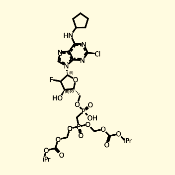 CC(C)OC(=O)OCOP(=O)(CP(=O)(O)OC[C@H]1O[C@@H](n2cnc3c(NC4CCCC4)nc(Cl)nc32)C(F)[C@@H]1O)OCOC(=O)OC(C)C